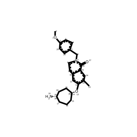 COc1ccc(Cn2ccc3cc(O[C@@H]4CCC[C@H](N)CC4)c(C)cc3c2=O)cc1